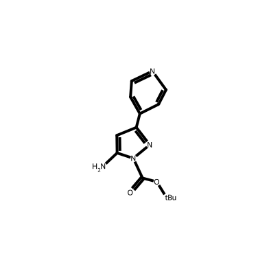 CC(C)(C)OC(=O)n1nc(-c2ccncc2)cc1N